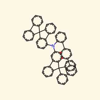 c1ccc(-c2ccc(-c3ccccc3N(c3ccc4c(c3)-c3ccccc3C4(c3ccccc3)c3ccccc3)c3cccc4c3-c3ccccc3C43c4ccccc4-c4ccccc43)cc2)cc1